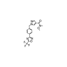 CON(C)C(=O)c1cnn(Cc2ccc(-c3noc(C(F)(F)F)n3)cc2)c1